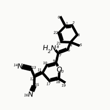 CC1=CCC(C)(C=C(N)C2=CC(=C(C#N)C#N)C=C(C)O2)C=C1